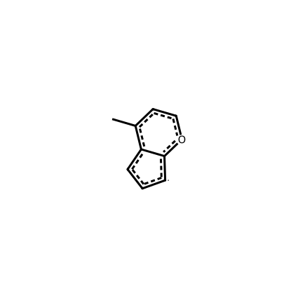 Cc1ccoc2[c]ccc1-2